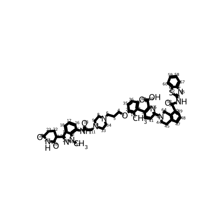 Cc1c(OCCCN2CCN(CC(=O)Nc3cccc4c(C5CCC(=O)NC5=O)nn(C)c34)CC2)cccc1-c1ccc(N2CCc3cccc(C(=O)Nc4nc5ccccc5s4)c3C2)nc1C(=O)O